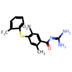 Cc1cc(Sc2ccccc2C(F)(F)F)c([N+](=O)[O-])cc1C(=O)N=C(N)N